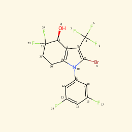 O[C@H]1c2c(C(F)(F)F)c(Br)n(-c3cc(F)cc(F)c3)c2CCC1(F)F